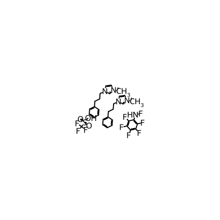 C[n+]1ccn(CCCc2ccccc2)c1.C[n+]1ccn(CCCc2ccccc2)c1.FNc1c(F)c(F)c(F)c(F)c1F.O=S(=O)(O)C(F)(F)F